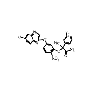 CCC(=O)C(C#N)(Oc1cc(Oc2cnc3cc(Cl)ccc3n2)ccc1[N+](=O)[O-])c1cccc(C(F)(F)F)c1